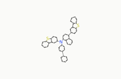 c1ccc(-c2ccc(N(c3ccc4sc5ccccc5c4c3)c3ccc(-c4ccc5sc6ccccc6c5c4)c4ccccc34)cc2)cc1